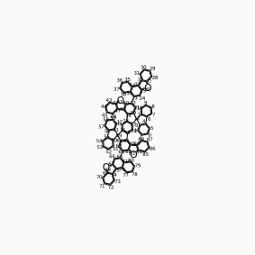 c1ccc2c(c1)-c1ccccc1C21c2cc3c(cc2-c2c1cc(-c1cc4oc5ccccc5c4c4ccccc14)c1oc4ccccc4c21)C1(c2ccccc2-c2ccccc21)c1cc(-c2cc4oc5ccccc5c4c4ccccc24)c2oc4ccccc4c2c1-3